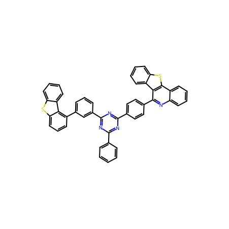 c1ccc(-c2nc(-c3ccc(-c4nc5ccccc5c5sc6ccccc6c45)cc3)nc(-c3cccc(-c4cccc5sc6ccccc6c45)c3)n2)cc1